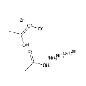 CC(=O)O.CC(O)=[O+][O-].N.N.O.[Zn].[Zn]